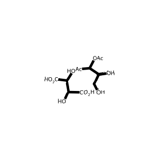 CC(=O)OC(C(C)=O)C(O)CO.O=C(O)C(O)C(O)C(=O)O